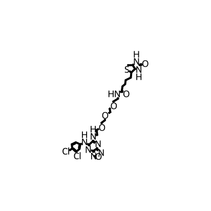 O=C(CCCCC1SCC2NC(=O)NC21)NCCOCCOCCOCCNc1nc2nonc2nc1Nc1ccc(Cl)c(Cl)c1